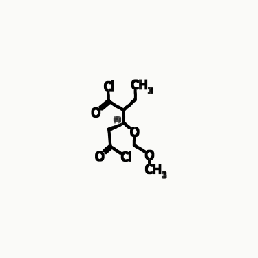 CCC(C(=O)Cl)[C@H](CC(=O)Cl)OCOC